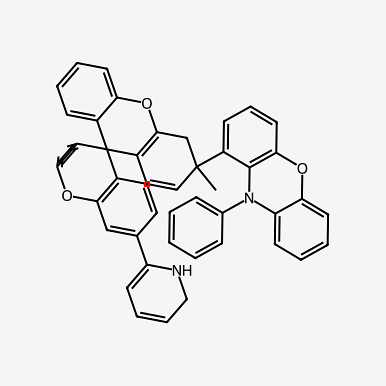 CC1(c2cccc3c2N(c2ccccc2)c2ccccc2O3)C=CC2=C(C1)Oc1ccccc1C21c2ccccc2Oc2cc(C3=CC=CCN3)ccc21